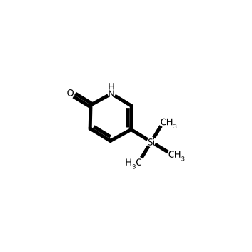 C[Si](C)(C)c1ccc(=O)[nH]c1